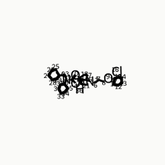 O=C(O[C@H]1C[N+]2(CCCOc3ccccc3Cl)CCC1CC2)N(Cc1ccccc1)c1ccccc1